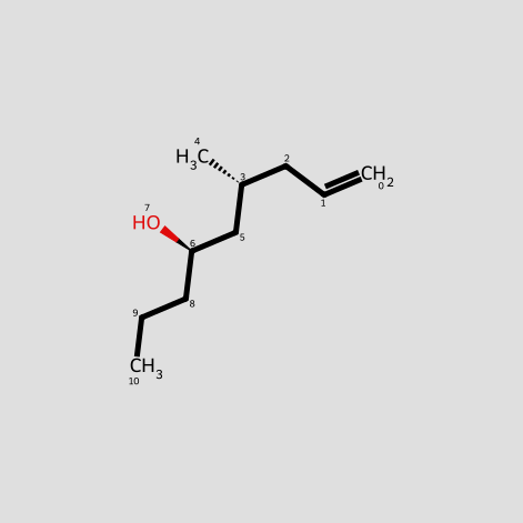 C=CC[C@@H](C)C[C@H](O)CCC